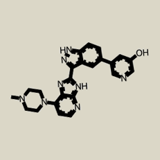 CN1CCN(c2ccnc3[nH]c(-c4n[nH]c5ccc(-c6cncc(O)c6)cc45)nc23)CC1